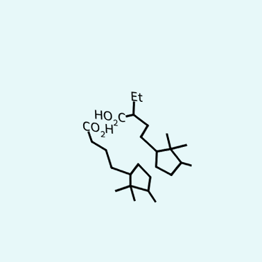 CC1CCC(CCCC(=O)O)C1(C)C.CCC(CCC1CCC(C)C1(C)C)C(=O)O